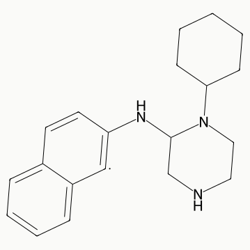 [c]1c(NC2CNCCN2C2CCCCC2)ccc2ccccc12